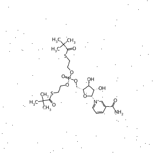 CC(C)(C)C(=O)SCCOP(=O)(OCCSC(=O)C(C)(C)C)OC[C@H]1O[C@@H]([n+]2cccc(C(N)=O)c2)[C@@H](O)C1O